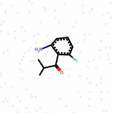 CC(C)C(=O)c1c(N)cccc1F